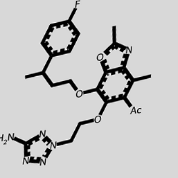 CC(=O)c1c(OCCn2nnc(N)n2)c(OCCC(C)c2ccc(F)cc2)c2oc(C)nc2c1C